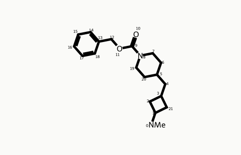 CNC1CC(CC2CCN(C(=O)OCc3ccccc3)CC2)C1